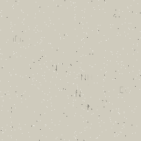 CCc1cc2c(NC3CCN(Cc4cccc(C(C)C)c4)CC3)ncnc2s1